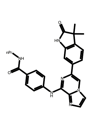 CCCNC(=O)c1ccc(Nc2nc(-c3ccc4c(c3)NC(=O)C4(C)C)cn3ccnc23)cc1